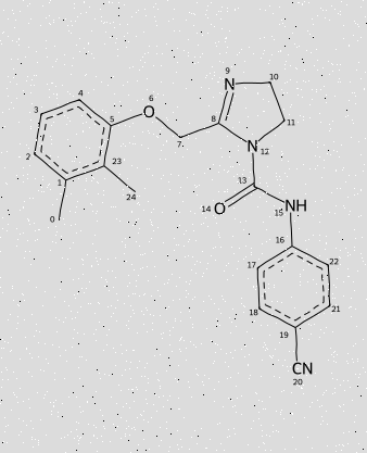 Cc1cccc(OCC2=NCCN2C(=O)Nc2ccc(C#N)cc2)c1C